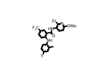 CCc1nc(OC)ccc1NC(=O)c1cc(C(F)(F)F)ccc1Nc1ccc(F)cc1C